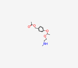 CNCCOC(C)Oc1ccc(COC(C)=O)cc1